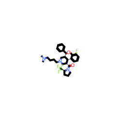 Cc1c(F)cccc1[C@H]1[C@@H](C(=O)c2ccccc2)CN(CCCCN(C)C)C[C@H]1C(=O)N1CCC[C@H]1C(F)(F)F